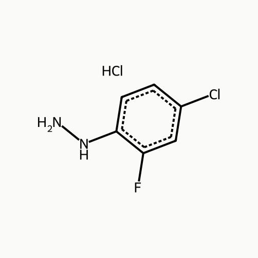 Cl.NNc1ccc(Cl)cc1F